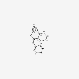 N#CCN(Cc1ccccc1)C1CCCCC1=O